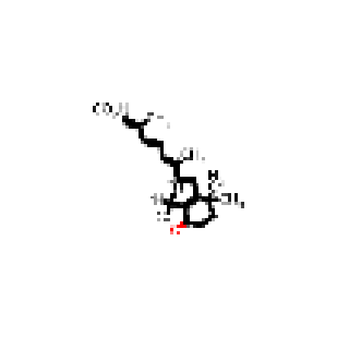 [2H]C([2H])([2H])C1=C(/C=C/C(C)=C/C=C/C(C)=C/C(=O)O)C(C)(C)CCC1=O